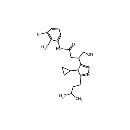 Cc1c(Cl)cccc1NC(=O)CC(CO)c1nnc(CCC(C)C)n1C1CC1